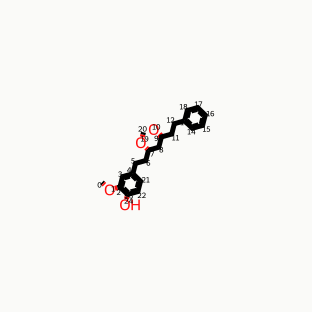 COc1cc(CCC(CC(=O)CCc2ccccc2)OC)ccc1O